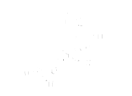 CC(C)OC(=O)[C@@H](C)NP(=N)(OCCSC(=O)C(C)(C)CO)OC[C@@H]1C[C@H](C)[C@H](C)O1